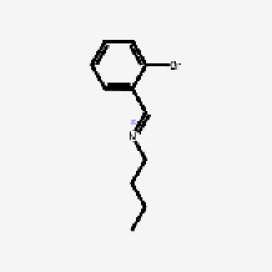 CCCC/N=C/c1ccccc1Br